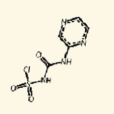 O=C(Nc1cnccn1)NS(=O)(=O)Cl